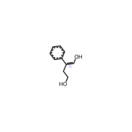 O/C=C(/CCO)c1ccccc1